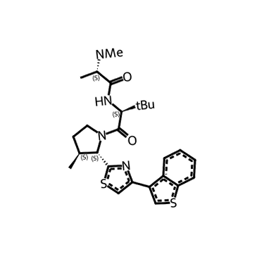 CN[C@@H](C)C(=O)N[C@H](C(=O)N1CC[C@H](C)[C@H]1c1nc(-c2csc3ccccc23)cs1)C(C)(C)C